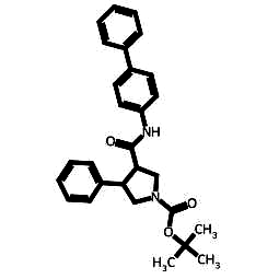 CC(C)(C)OC(=O)N1CC(C(=O)Nc2ccc(-c3ccccc3)cc2)C(c2ccccc2)C1